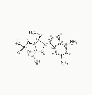 CO[C@@H]1[C@H](OP(O)(O)=S)[C@@H](CO)O[C@H]1n1cnc2c(N)nc(N)nc21